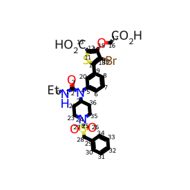 CCNC(=O)N(c1cccc(-c2sc(C(=O)O)c(OCC(=O)O)c2Br)c1)C1CCN(S(=O)(=O)Cc2ccccc2)CC1